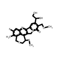 COCc1c(C(S)CO)cc2n(c1=O)Cc1c-2nc2cc(F)c(C)c3c2c1C(SC)CCC3